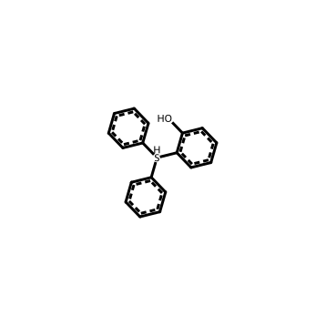 Oc1ccccc1[SH](c1ccccc1)c1ccccc1